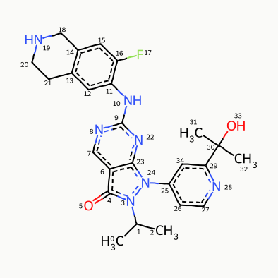 CC(C)n1c(=O)c2cnc(Nc3cc4c(cc3F)CNCC4)nc2n1-c1ccnc(C(C)(C)O)c1